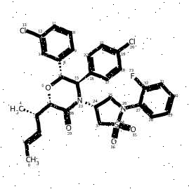 C/C=C/[C@H](C)[C@@H]1O[C@H](c2cccc(Cl)c2)[C@@H](c2ccc(Cl)cc2)N([C@@H]2CN(c3ccccc3F)S(=O)(=O)C2)C1=O